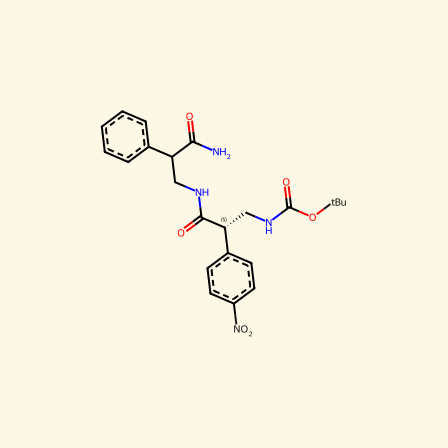 CC(C)(C)OC(=O)NC[C@@H](C(=O)NCC(C(N)=O)c1ccccc1)c1ccc([N+](=O)[O-])cc1